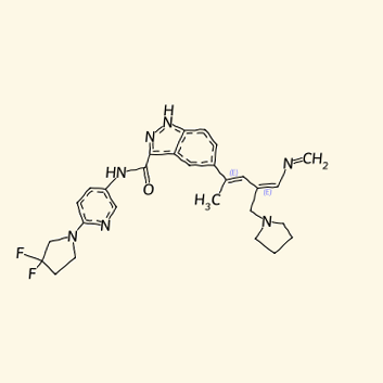 C=N/C=C(\C=C(/C)c1ccc2[nH]nc(C(=O)Nc3ccc(N4CCC(F)(F)C4)nc3)c2c1)CN1CCCC1